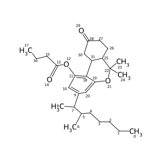 CCCCCC(C)C(C)c1cc(OC(=O)CCC)c2c(c1)OC(C)(C)C1CCC(=O)CC21